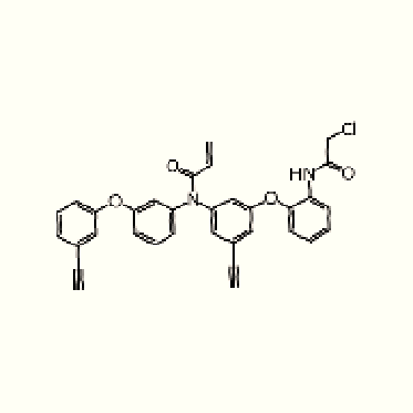 C#Cc1cccc(Oc2cccc(N(C(=O)C=C)c3cc(C#C)cc(Oc4ccccc4NC(=O)CCl)c3)c2)c1